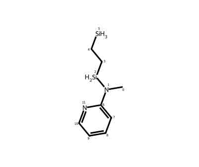 CN([SiH2]CC[SiH3])c1ccccn1